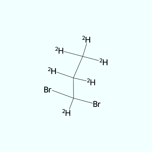 [2H]C([2H])([2H])C([2H])([2H])C([2H])(Br)Br